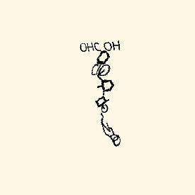 Cc1c(COc2cc(O)c(C=O)cc2Cl)cccc1-c1cccc(OCCCN2CC3COCC3C2)c1C